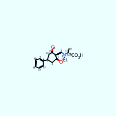 CCN(C=C1C(=O)CC(c2ccccc2)CC1=O)[C@@H](C)C(=O)O